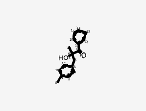 Cc1ccc(CC(C)(O)C(=O)c2ccccc2)cc1